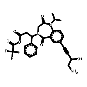 CC(C)N1C(=O)CN(C(CC(=O)OC(=O)C(F)(F)F)c2ccccc2)C(=O)c2cc(C#CC(S)CN)ccc21